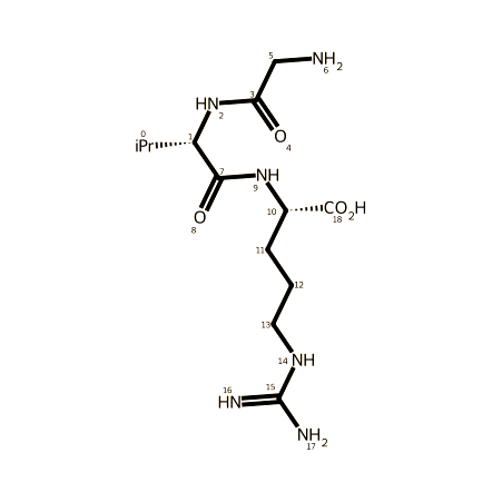 CC(C)[C@H](NC(=O)CN)C(=O)N[C@@H](CCCNC(=N)N)C(=O)O